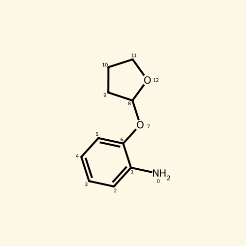 Nc1ccccc1OC1CCCO1